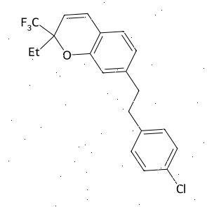 CCC1(C(F)(F)F)C=Cc2ccc(CCc3ccc(Cl)cc3)cc2O1